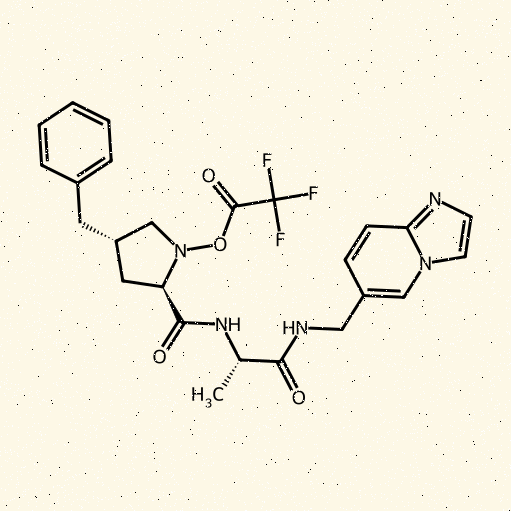 C[C@H](NC(=O)[C@H]1C[C@H](Cc2ccccc2)CN1OC(=O)C(F)(F)F)C(=O)NCc1ccc2nccn2c1